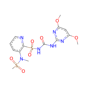 COc1cc(OC)nc(NC(=O)NS(=O)(=O)c2ncccc2N(C)S(C)(=O)=O)n1